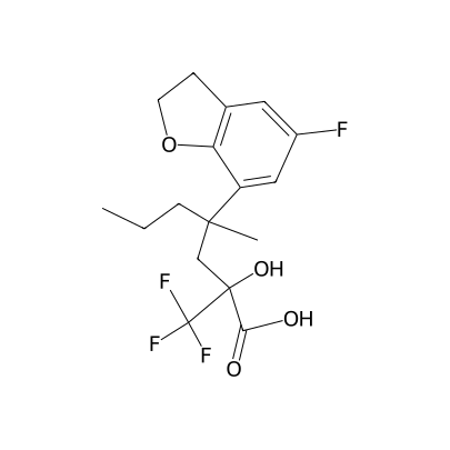 CCCC(C)(CC(O)(C(=O)O)C(F)(F)F)c1cc(F)cc2c1OCC2